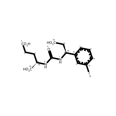 O=C(O)CC[C@H](NC(=O)N[C@@H](CC(=O)O)c1cccc(I)c1)C(=O)O